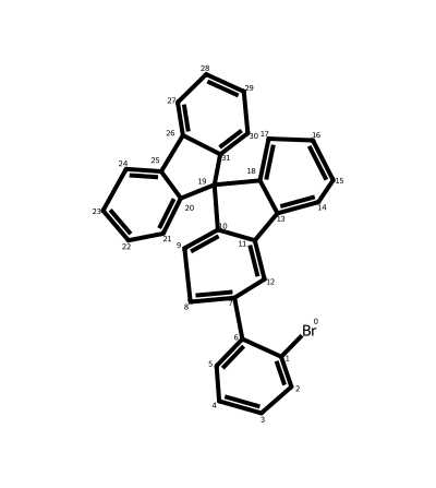 Brc1ccccc1-c1ccc2c(c1)-c1ccccc1C21c2ccccc2-c2ccccc21